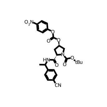 CC(NC(=O)[C@@H]1C[C@@H](OC(=O)Oc2ccc([N+](=O)[O-])cc2)CN1C(=O)OC(C)(C)C)c1ccc(C#N)cc1